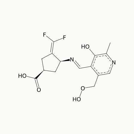 Cc1ncc(COO)c(/C=N/[C@H]2C[C@@H](C(=O)O)CC2=C(F)F)c1O